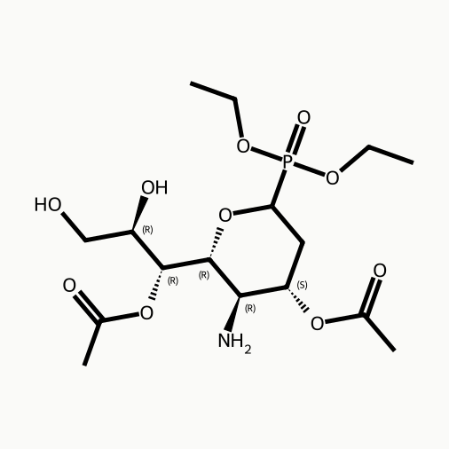 CCOP(=O)(OCC)C1C[C@H](OC(C)=O)[C@@H](N)[C@H]([C@H](OC(C)=O)[C@H](O)CO)O1